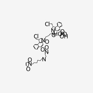 CN(CCCCCCN1C(=O)C=CC1=O)CCN(C)C(=O)Oc1cc2c(c3ccccc13)C(CCl)CN2C(=O)CCCC(=O)N1C[C@@H](CCl)c2c1cc(OP(=O)(O)O)c1ccccc21